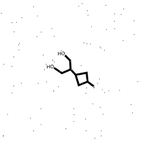 OCC(CO)C1CC(I)C1